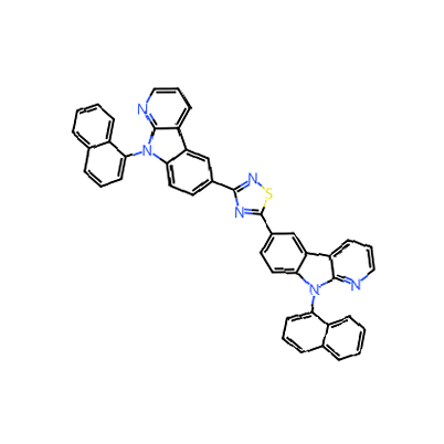 c1ccc2c(-n3c4ccc(-c5nsc(-c6ccc7c(c6)c6cccnc6n7-c6cccc7ccccc67)n5)cc4c4cccnc43)cccc2c1